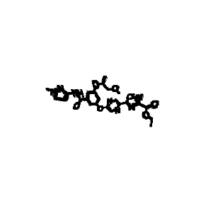 CCOC(=O)c1noc(-c2cnc(Oc3cc(O[C@@H](C)COC)cc(C(=O)Nc4ccn(C)n4)c3)cn2)n1